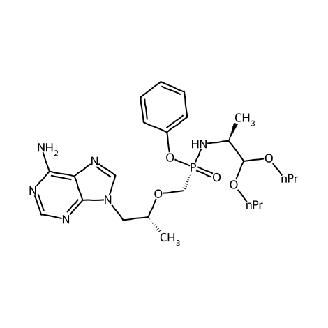 CCCOC(OCCC)[C@H](C)N[P@](=O)(CO[C@H](C)Cn1cnc2c(N)ncnc21)Oc1ccccc1